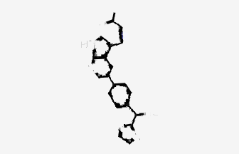 CC(=O)/C=C\c1c[nH]c2ncc(-c3ccc(C(O)c4nccs4)cc3)cc12